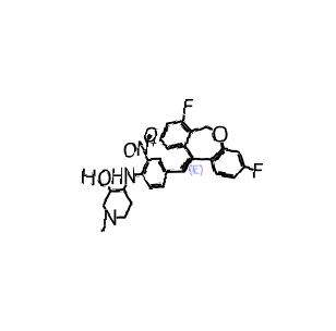 CN1CCC(Nc2ccc(/C=C3/c4ccc(F)cc4OCc4c(F)cccc43)cc2[N+](=O)[O-])C(O)C1